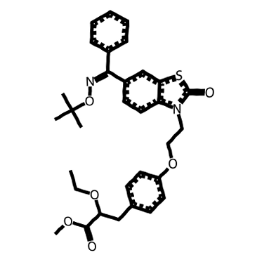 CCOC(Cc1ccc(OCCn2c(=O)sc3cc(/C(=N\OC(C)(C)C)c4ccccc4)ccc32)cc1)C(=O)OC